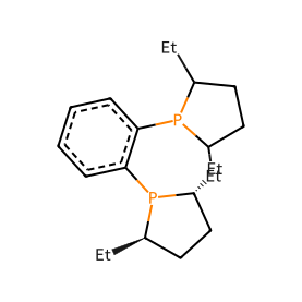 CCC1CCC(CC)P1c1ccccc1P1[C@H](CC)CC[C@H]1CC